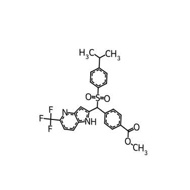 COC(=O)c1ccc(C(c2cc3nc(C(F)(F)F)ccc3[nH]2)S(=O)(=O)c2ccc(C(C)C)cc2)cc1